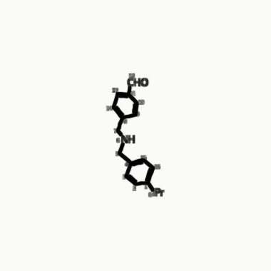 CC(C)c1ccc(CNCc2ccc(C=O)cc2)cc1